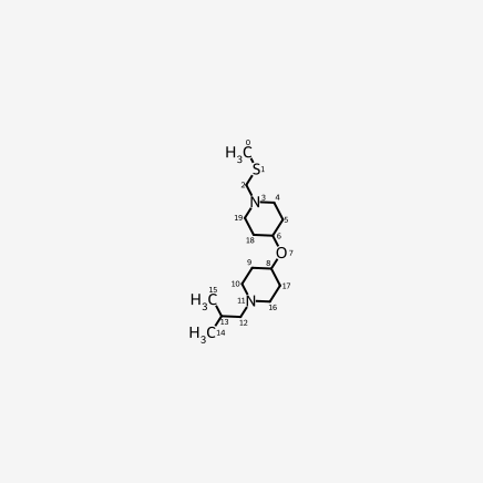 CSCN1CCC(OC2CCN(CC(C)C)CC2)CC1